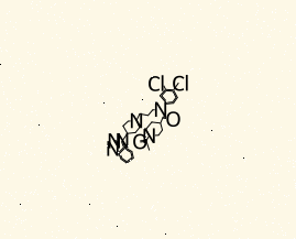 CC(=O)N1CCC(C(=O)N(CCCN2CCC(n3nnc4ccccc43)CC2)c2ccc(Cl)c(Cl)c2)CC1